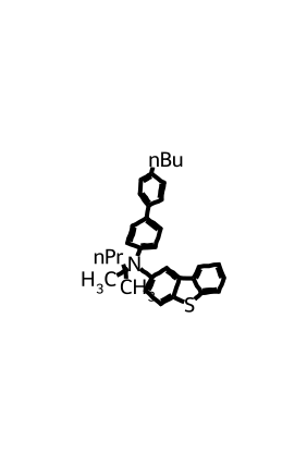 CCCCc1ccc(-c2ccc(N(c3ccc4sc5ccccc5c4c3)C(C)(C)CCC)cc2)cc1